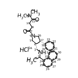 C[C@@H](NC[C@@H]1CN(C(=O)CCC(=O)N(C)C)C[C@@H]1c1ccccc1)c1cccc2ccccc12.Cl